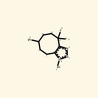 CC(C)C1CCc2c(nnn2C(C)C)C(F)(F)CC1